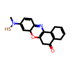 CN(S)C1=CC2OC3=C(N=C2C=C1)C1=C(CC=CC1)C(=O)C3